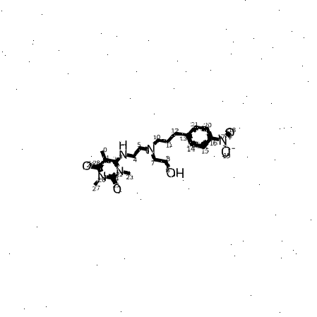 Cc1c(NCCN(CCO)CCCc2ccc([N+](=O)[O-])cc2)n(C)c(=O)n(C)c1=O